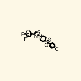 O=S(=O)(c1ccc(Cl)cc1)C1CCN(c2nc(-c3ccc(F)c(F)c3)cs2)CC1